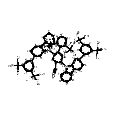 N#Cc1cc(-n2c3ccccc3c3ccc(-c4cc(C(F)(F)F)cc(C(F)(F)F)c4)cc32)c(-c2c(C(F)(F)F)cccc2C(F)(F)F)cc1-n1c2ccccc2c2ccc(-c3cc(C(F)(F)F)cc(C(F)(F)F)c3)cc21